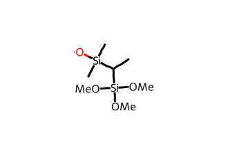 CO[Si](OC)(OC)C(C)[Si](C)(C)[O]